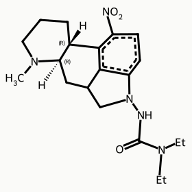 CCN(CC)C(=O)NN1CC2C[C@@H]3[C@H](CCCN3C)c3c([N+](=O)[O-])ccc1c32